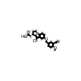 COc1ccc(COc2ccc3c(c2)c(Cl)c2n3CC[C@H]2CC(=O)O)cc1C#N